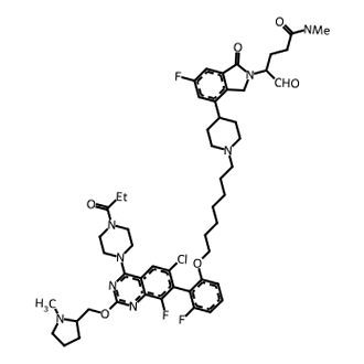 CCC(=O)N1CCN(c2nc(OCC3CCCN3C)nc3c(F)c(-c4c(F)cccc4OCCCCCCCN4CCC(c5cc(F)cc6c5CN(C(C=O)CCC(=O)NC)C6=O)CC4)c(Cl)cc23)CC1